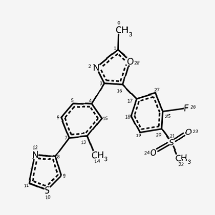 Cc1nc(-c2ccc(-c3cscn3)c(C)c2)c(-c2ccc(S(C)(=O)=O)c(F)c2)o1